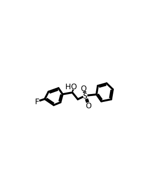 O=S(=O)(C[C@H](O)c1ccc(F)cc1)c1ccccc1